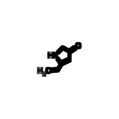 C=CC1=CC(=O)CN1